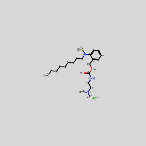 CCCCCCCCCCCCCCCCCCN(C=O)c1ccccc1COC(=O)NCCN(C(C)C)C(C)C.Cl